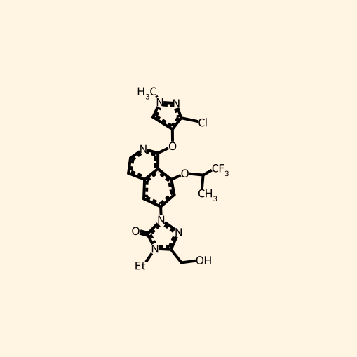 CCn1c(CO)nn(-c2cc(OC(C)C(F)(F)F)c3c(Oc4cn(C)nc4Cl)nccc3c2)c1=O